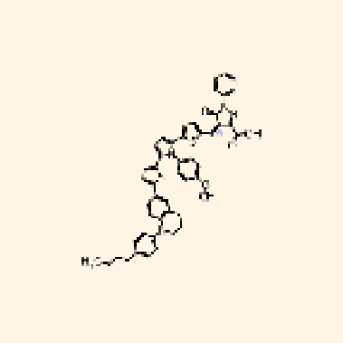 CCCCc1ccc(N2CCCc3cc(-c4ccc(-c5ccc(-c6ccc(/C=C7\C(=O)N(c8ccccc8)N=C7C(=O)O)s6)n5-c5ccc(OC)cc5)s4)ccc32)cc1